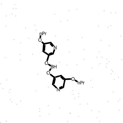 CCCOc1cncc(OBOc2cncc(OCCC)c2)c1